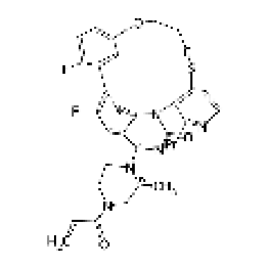 C=CC(=O)N1CCN(c2nc(=O)n3c4nc(c(F)cc24)-c2cc(ccc2F)OCCCSc2ccnc(C(C)C)c2-3)[C@@H](C)C1